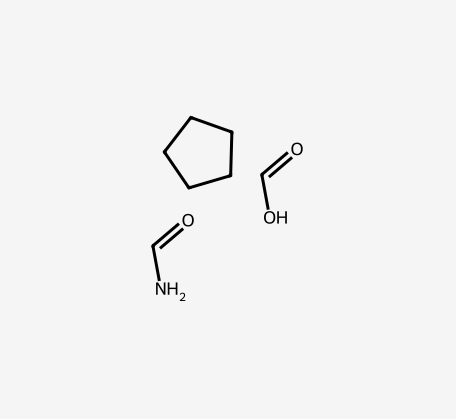 C1CCCC1.NC=O.O=CO